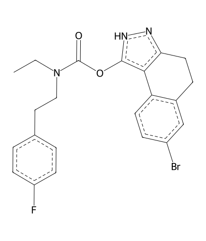 CCN(CCc1ccc(F)cc1)C(=O)Oc1[nH]nc2c1-c1ccc(Br)cc1CC2